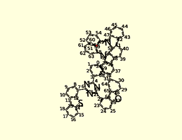 c1ccc(-c2nc(-c3cccc4c3sc3ccccc34)nc(-c3cccc4oc5ccc(-c6ccc7c(c6)c6ccc8c9ccccc9n(-c9ccccc9)c8c6n7-c6ccccc6)cc5c34)n2)cc1